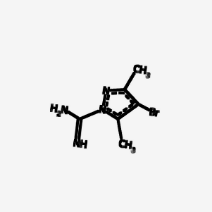 Cc1nn(C(=N)N)c(C)c1Br